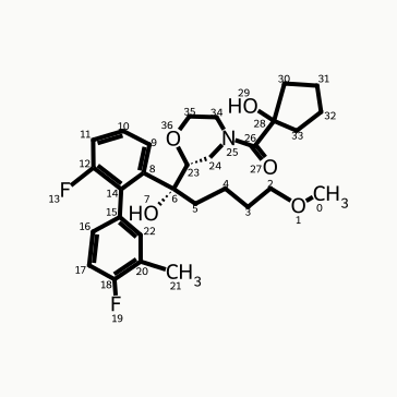 COCCCC[C@@](O)(c1cccc(F)c1-c1ccc(F)c(C)c1)[C@H]1CN(C(=O)C2(O)CCCC2)CCO1